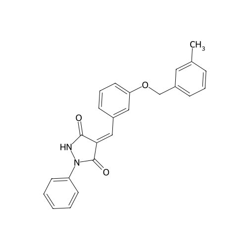 Cc1cccc(COc2cccc(/C=C3\C(=O)NN(c4ccccc4)C3=O)c2)c1